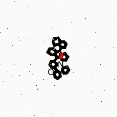 c1ccc(N(c2ccccc2)c2c(-c3ccc(-c4cccc5ccccc45)c4ccccc34)ccc3oc4ccccc4c23)cc1